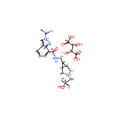 CC(C)n1cc2cccc(C(=O)NCC3C4CN(CC(C)(C)O)CC34)c2n1.O=C(O)C(O)C(O)C(=O)O